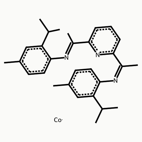 CC(=Nc1ccc(C)cc1C(C)C)c1cccc(C(C)=Nc2ccc(C)cc2C(C)C)n1.[Co]